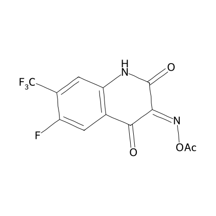 CC(=O)ON=C1C(=O)Nc2cc(C(F)(F)F)c(F)cc2C1=O